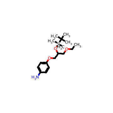 CCOCC(COc1ccc(N)cc1)O[Si](C)(C)C(C)(C)C